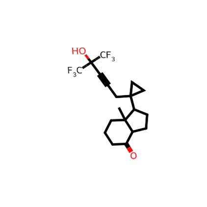 CC12CCCC(=O)C1CCC2C1(CC#CC(O)(C(F)(F)F)C(F)(F)F)CC1